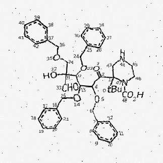 CC(C)(C)C1(C(=O)C(OCc2ccccc2)C(OCc2ccccc2)C(OCc2ccccc2)C(O)(C=O)COCc2ccccc2)CNCCN1C(=O)O